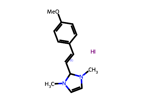 COc1ccc(/C=C/C2N(C)C=CN2C)cc1.I